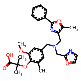 COc1cc(CN(Cc2ncco2)Cc2nc(-c3ccccc3)oc2C)cc(C)c1OC(C)(C)C(=O)O